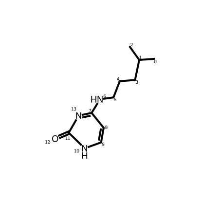 CC(C)CCCNc1cc[nH]c(=O)n1